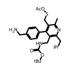 CC(=O)OSCc1c(C)nc(CC(C)C)c(CNC(=O)OC(C)(C)C)c1-c1ccc(CN)cc1